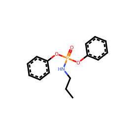 CCCNP(=O)(Oc1ccccc1)Oc1ccccc1